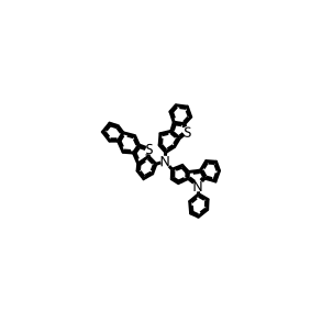 c1ccc(-n2c3ccccc3c3cc(N(c4ccc5c(c4)sc4ccccc45)c4cccc5c4sc4cc6ccccc6cc45)ccc32)cc1